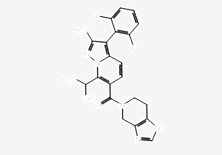 Cc1nn2c(C(C)C)c(C(=O)N3CCc4[nH]cnc4C3)ccc2c1-c1c(F)cccc1F